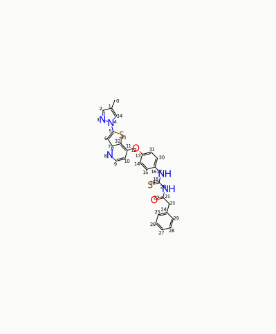 Cc1cnn(-c2cc3nccc(Oc4ccc(NC(=S)NC(=O)Cc5ccccc5)cc4)c3s2)c1